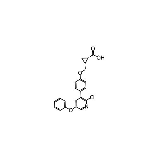 O=C(O)[C@@H]1C[C@H]1COc1ccc(-c2cc(Oc3ccccc3)cnc2Cl)cc1